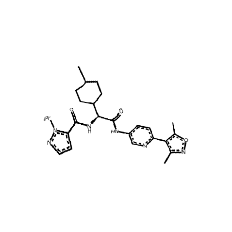 Cc1noc(C)c1-c1ccc(NC(=O)[C@@H](NC(=O)c2ccnn2C(C)C)C2CCC(C)CC2)cn1